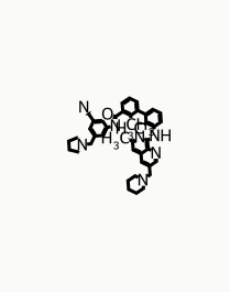 Cc1cc2cc(CN3CCCCC3)cnc2c(Nc2cccc(-c3cccc(-c4nc5cc(CN6CCCC6)cc(C#N)c5o4)c3C)c2C)n1